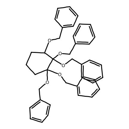 c1ccc(CO[C]2CCCC(OCc3ccccc3)(OCc3ccccc3)C2(OCc2ccccc2)OCc2ccccc2)cc1